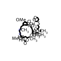 COc1cc2cc(c1Cl)N(C)C(=O)CC(OC(=O)C(C)N(C)C(=O)CCSC1CCOOC1)C(C)(C)OC(C)C1CC(O)(NC(=O)O1)C(OC)/C=C/C=C(\C)C2